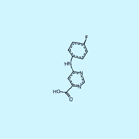 O=C(O)c1cc(Nc2ccc(F)cc2)ncn1